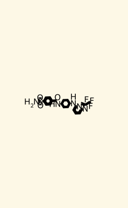 NS(=O)(=O)c1ccc(C(=O)N[C@H]2CC[C@@H](Nc3cccc4nc(C(F)(F)F)cn34)CC2)cc1